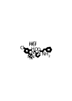 Cl.Cl.N[C@@H](Cc1ccccc1)C(=O)N1CCC[C@H]1C(=O)NCc1cc(Cl)ccc1-n1cnnn1